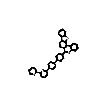 c1ccc(-c2cccc(-c3ccc(-c4ccc(-c5nc6ccccc6c6c5ccc5c7ccccc7oc56)cc4)cc3)n2)nc1